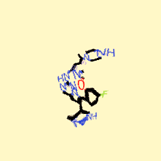 C=N/C(=C\C=C(/C)N1CCNCC1)Nc1ncc2cc(-c3c[nH]nc3C)c(-c3ccc(F)cc3OC)n2n1